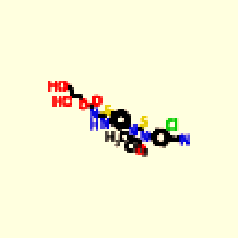 CC1(C)C(=O)N(c2ccc(C#N)c(Cl)c2)C(=S)N1c1ccc2sc(NC(=O)OCC(O)CO)nc2c1